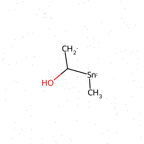 [CH2][CH](O)[Sn][CH3]